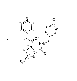 O=C(NCc1ccc(Cl)cc1)[C@@H]1C[C@@H](O)CN1C(=O)Cc1ccncc1